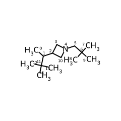 CC(C1CN(CC(C)(C)C)C1)C(C)(C)C